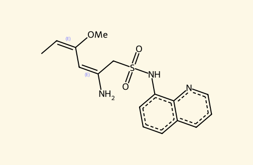 C/C=C(\C=C(\N)CS(=O)(=O)Nc1cccc2cccnc12)OC